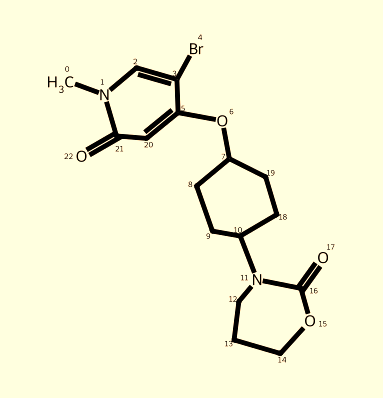 Cn1cc(Br)c(OC2CCC(N3CCCOC3=O)CC2)cc1=O